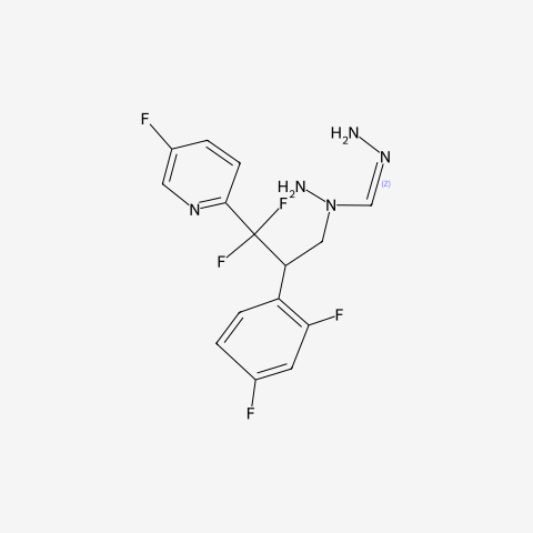 N/N=C\N(N)CC(c1ccc(F)cc1F)C(F)(F)c1ccc(F)cn1